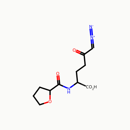 [N-]=[N+]=CC(=O)CCC(NC(=O)C1CCCO1)C(=O)O